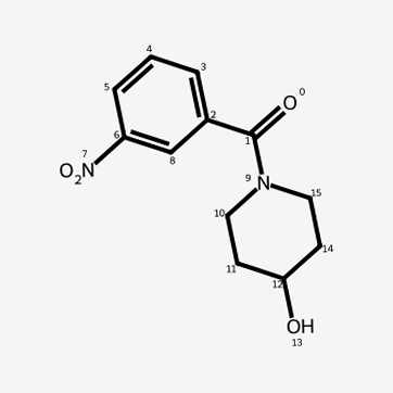 O=C(c1cccc([N+](=O)[O-])c1)N1CCC(O)CC1